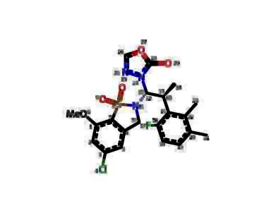 COc1cc(Cl)cc2c1S(=O)(=O)N([C@@H]([C@@H](C)c1c(F)ccc(C)c1C)n1ncoc1=O)C2